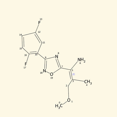 COC/C(C)=C(/N)c1nc(-c2cc(F)ccc2F)no1